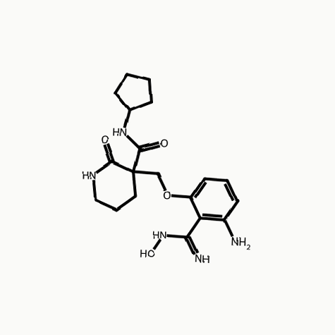 N=C(NO)c1c(N)cccc1OCC1(C(=O)NC2CCCC2)CCCNC1=O